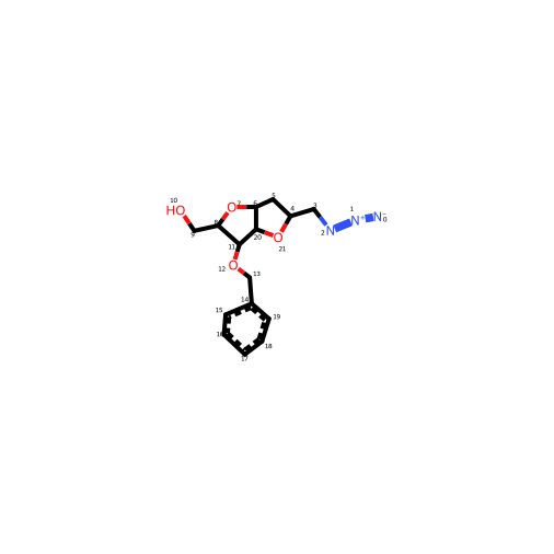 [N-]=[N+]=NCC1CC2OC(CO)C(OCc3ccccc3)C2O1